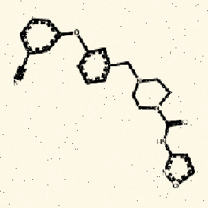 N#Cc1cccc(Oc2cccc(CN3CCN(C(=O)Nc4ccon4)CC3)c2)c1